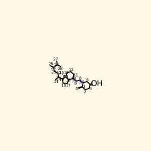 C=C1CCC(O)C/C1=C/C=C1\CCC[C@@]2(C)C1CCC2C(C)CCC(C)C(C)C